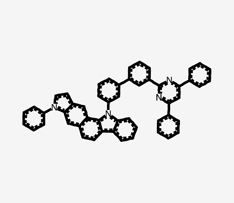 c1ccc(-c2cc(-c3ccccc3)nc(-c3cccc(-c4cccc(-n5c6ccccc6c6ccc7cc8c(ccn8-c8ccccc8)cc7c65)c4)c3)n2)cc1